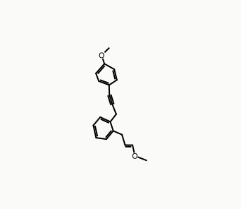 COC=CCc1ccccc1CC#Cc1ccc(OC)cc1